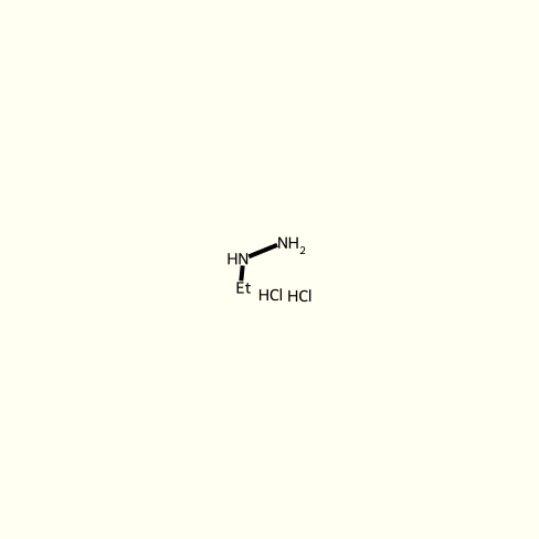 CCNN.Cl.Cl